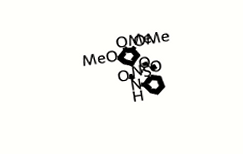 COc1cc(N2C(=O)Nc3ccccc3S2(=O)=O)cc(OC)c1OC